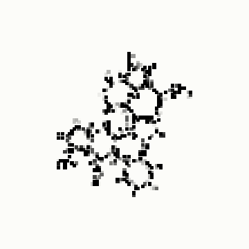 CC(=O)c1n[nH]c2ncnc(N3CCC[C@H]3c3nn4ccc(Cl)c4c(=O)n3-c3ccccc3)c12